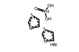 Br.O=[PH](O)O.c1cscn1.c1cscn1